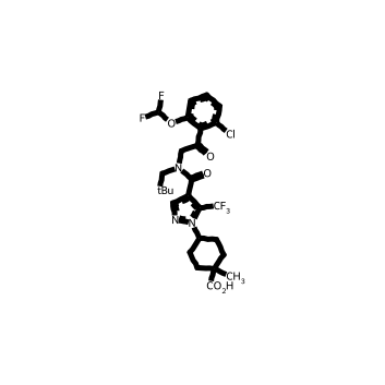 CC(C)(C)CN(CC(=O)c1c(Cl)cccc1OC(F)F)C(=O)c1cnn(C2CCC(C)(C(=O)O)CC2)c1C(F)(F)F